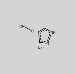 O=N[O-].[Na+].c1cn[nH]c1